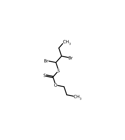 CCCOC(=S)SC(Br)C(Br)CC